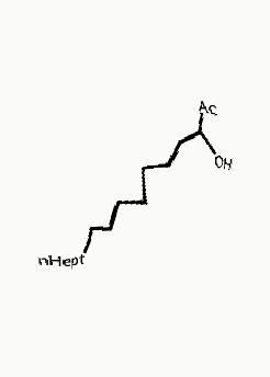 CCCCCCCCCCCCCCC(O)C(C)=O